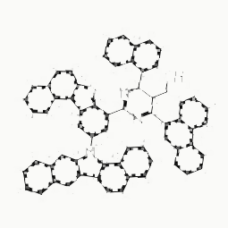 CCC1C(c2cc3ccccc3c3ccccc23)=NC(c2cc(-n3c4cc5ccccc5cc4c4ccc5ccccc5c43)cc3c2sc2ccc4ccccc4c23)=NC1c1cccc2ccccc12